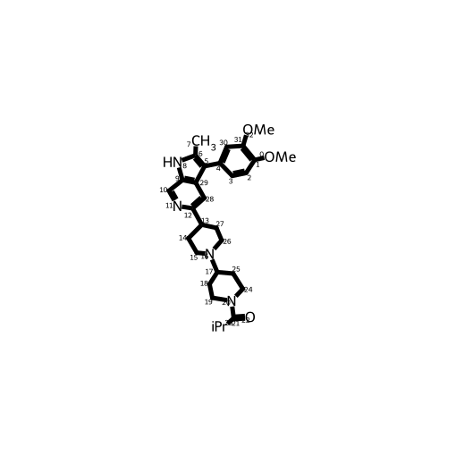 COc1ccc(-c2c(C)[nH]c3cnc(C4CCN(C5CCN(C(=O)C(C)C)CC5)CC4)cc23)cc1OC